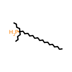 CCCCCCCCCCCCCCCCCC(P)(CCCC)CCCC